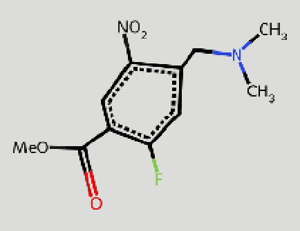 COC(=O)c1cc([N+](=O)[O-])c(CN(C)C)cc1F